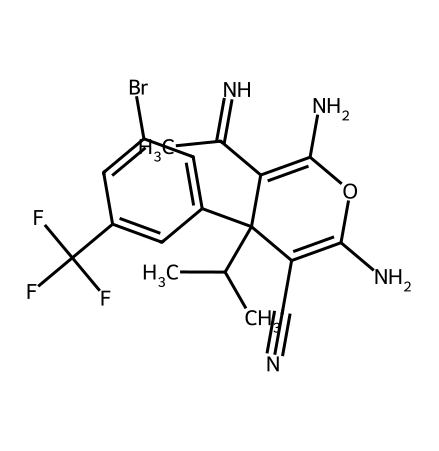 CC(=N)C1=C(N)OC(N)=C(C#N)C1(c1cc(Br)cc(C(F)(F)F)c1)C(C)C